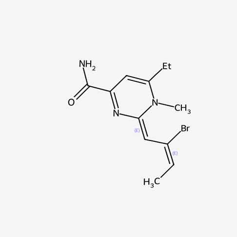 C/C=C(Br)\C=C1\N=C(C(N)=O)C=C(CC)N1C